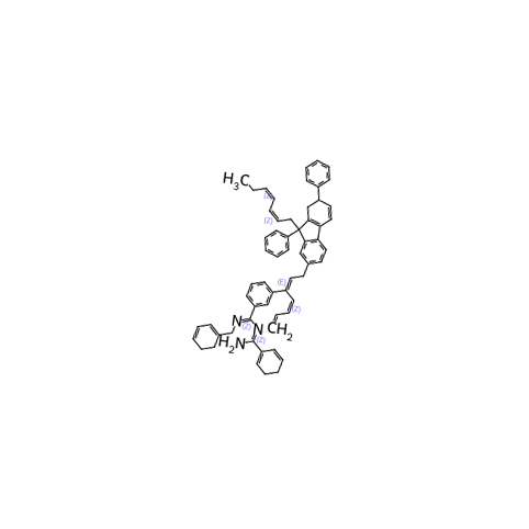 C=C/C=C\C(=C/Cc1ccc2c(c1)C(C/C=C\C=C/CC)(c1ccccc1)C1=C2C=CC(c2ccccc2)C1)c1cccc(C(/N=C(\N)C2=CCCC=C2)=N/CC2=CC=CCC2)c1